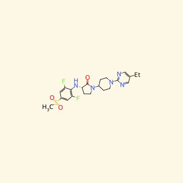 CCc1cnc(N2CCC(N3CC[C@H](Nc4c(F)cc(S(C)(=O)=O)cc4F)C3=O)CC2)nc1